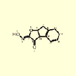 O=C1C(=NO)OC2CC3=C(C=CCC3)C12